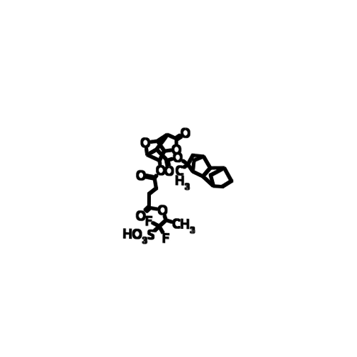 CC(OC(=O)CCC(=O)OC1C2OC(=O)C3C2OC1C3C(=O)OC1(C)CC2CC1C1C3CCC(C3)C21)C(F)(F)S(=O)(=O)O